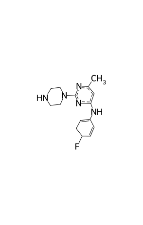 Cc1cc(NC2=CCC(F)C=C2)nc(N2CCNCC2)n1